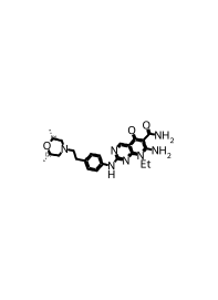 CCn1c(N)c(C(N)=O)c(=O)c2cnc(Nc3ccc(CCN4C[C@@H](C)O[C@@H](C)C4)cc3)nc21